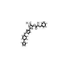 Cc1nc(-c2ccn(Cc3ccc(-n4cccc4)cc3)n2)sc1OC(=O)NCc1cccnc1